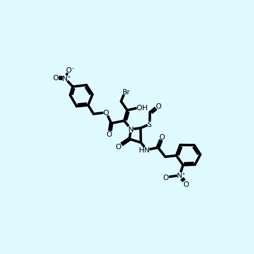 O=CSC1C(NC(=O)Cc2ccccc2[N+](=O)[O-])C(=O)N1C(C(=O)OCc1ccc([N+](=O)[O-])cc1)=C(O)CBr